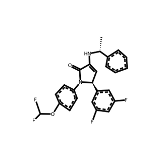 C[C@@H](NC1=C[C@@H](c2cc(F)cc(F)c2)N(c2ccc(OC(F)F)cc2)C1=O)c1ccccc1